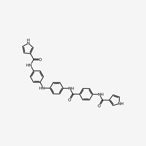 O=C(Nc1ccc(Nc2ccc(NC(=O)c3cc[nH]c3)cc2)cc1)c1ccc(NC(=O)c2cc[nH]c2)cc1